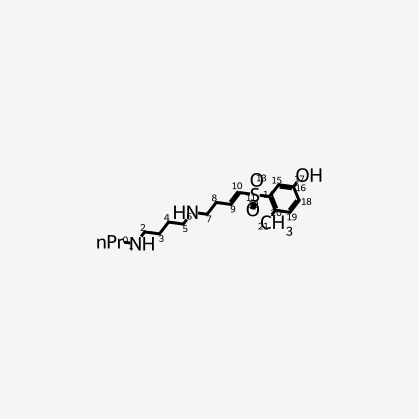 CCCNCCCCNCCC=CS(=O)(=O)c1cc(O)ccc1C